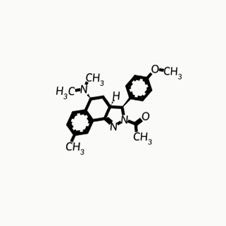 COc1ccc([C@@H]2[C@@H]3C[C@@H](N(C)C)c4ccc(C)cc4C3=NN2C(C)=O)cc1